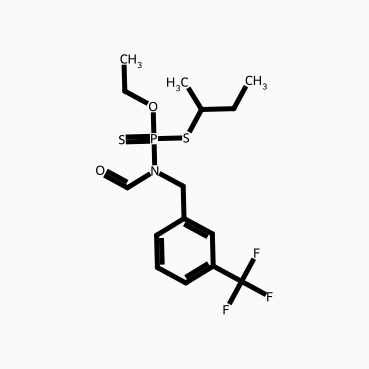 CCOP(=S)(SC(C)CC)N(C=O)Cc1cccc(C(F)(F)F)c1